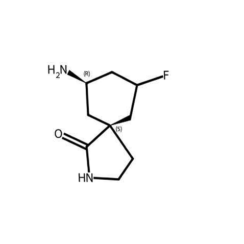 N[C@H]1CC(F)C[C@]2(CCNC2=O)C1